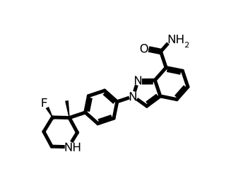 C[C@@]1(c2ccc(-n3cc4cccc(C(N)=O)c4n3)cc2)CNCC[C@H]1F